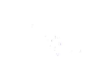 O=C(O)c1cnc2cc(-c3ccc(F)cc3)nn2c1